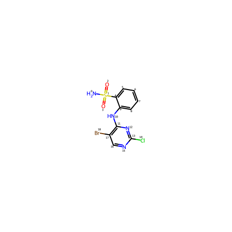 NS(=O)(=O)c1ccccc1Nc1nc(Cl)ncc1Br